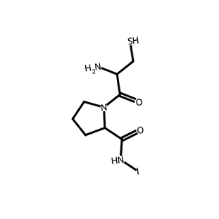 NC(CS)C(=O)N1CCCC1C(=O)NI